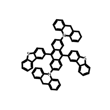 C1=CC2=C(CC1)Cc1ccccc1N2c1ccc2c(-c3ccc4sc5ccccc5c4c3)c3cc(N4c5ccccc5Cc5ccccc54)ccc3c(-c3ccc4sc5ccccc5c4c3)c2c1